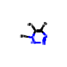 CCCC1=C(CC)N=NNN1CCC